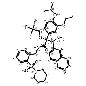 CCOc1cc([C@](OC(=O)C(F)(F)F)(C(=O)NCc2ccccc2S(=O)(=O)N2CCCCC2)N(N)c2ccc3cnccc3c2)ccc1OC(C)C